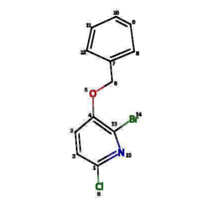 Clc1ccc(OCc2ccccc2)c(Br)n1